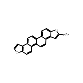 CCCc1cc2c(ccc3c2ccc2c4ccc5occc5c4ccc32)o1